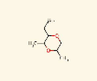 C[C](C)CC1OCC(C)OC1C